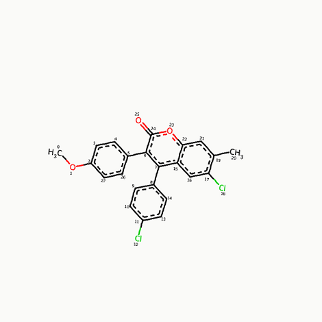 COc1ccc(-c2c(-c3ccc(Cl)cc3)c3cc(Cl)c(C)cc3oc2=O)cc1